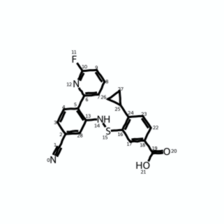 N#Cc1ccc(-c2cccc(F)n2)c(NSc2cc(C(=O)O)ccc2C2CC2)c1